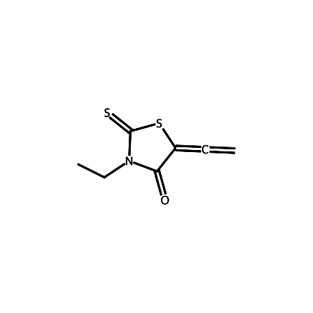 C=C=C1SC(=S)N(CC)C1=O